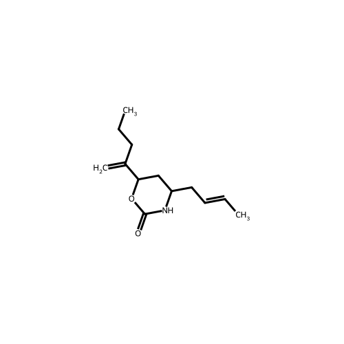 C=C(CCC)C1CC(C/C=C/C)NC(=O)O1